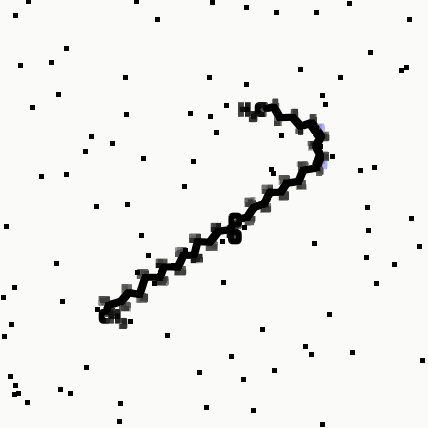 CCCCC/C=C\C/C=C\CCCCCCCCOC(=O)CCCCCCCCCCCCCC